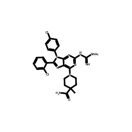 CC(=O)NC(=N)Nc1nc(N2CCC(C)(C(N)=O)CC2)c2nc(-c3ccccc3Cl)n(-c3ccc(Cl)cc3)c2n1